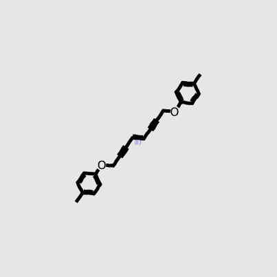 Cc1ccc(OCC#C/C=C/C#CCOc2ccc(C)cc2)cc1